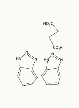 O=C(O)CCC(=O)O.c1ccc2[nH]nnc2c1.c1ccc2[nH]nnc2c1